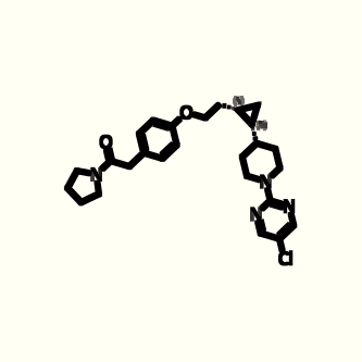 O=C(Cc1ccc(OCC[C@@H]2C[C@@H]2C2CCN(c3ncc(Cl)cn3)CC2)cc1)N1CCCC1